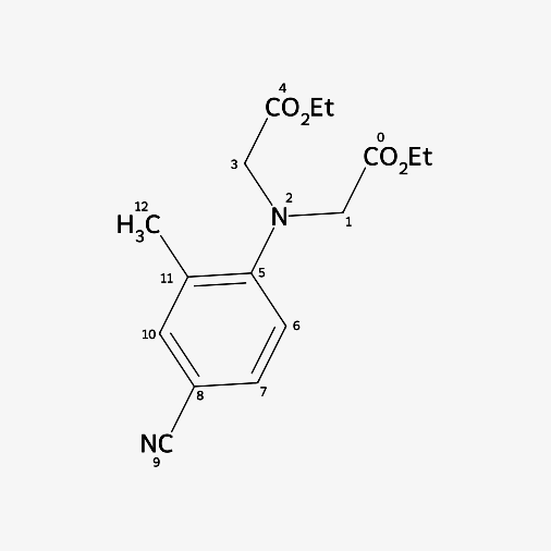 CCOC(=O)CN(CC(=O)OCC)c1ccc(C#N)cc1C